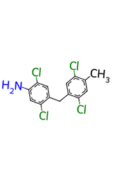 Cc1cc(Cl)c(Cc2cc(Cl)c(N)cc2Cl)cc1Cl